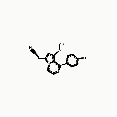 CSc1cc(CC#N)n2ccnc(-c3ccc(Cl)cc3)c12